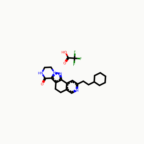 O=C(O)C(F)(F)F.O=C1NCCn2nc3c(c21)CCc1cnc(CCC2CCCCC2)cc1-3